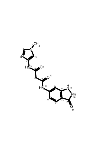 Cn1cnc(NC(=O)CC(=O)Nc2ccc3c(=O)[nH][nH]c3c2)c1